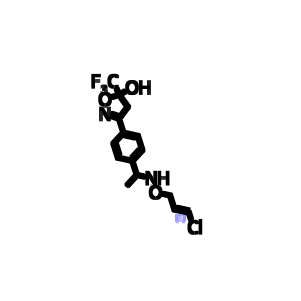 CC(NOC/C=C/Cl)c1ccc(C2=NOC(O)(C(F)(F)F)C2)cc1